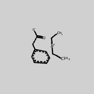 C[CH2][Al+][CH2]C.O=C([O-])Cc1ccccc1